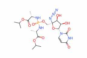 CC(C)OC(=O)[C@H](C)NP(=O)(N[C@@H](C)C(=O)OC(C)C)OC[C@@]1(N=[N+]=[N-])O[C@@H](n2ccc(=O)[nH]c2=O)[C@H](O)[C@@H]1O